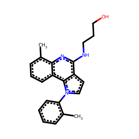 Cc1ccccc1-n1ccc2c(NCCCO)nc3c(C)cccc3c21